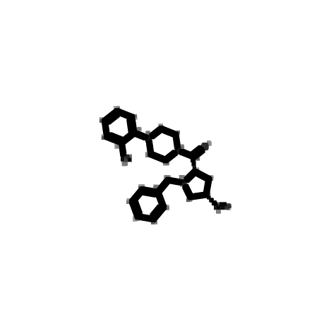 CN[C@H]1C[C@@H](C(=O)N2CCN(c3ccccc3C#N)CC2)N(Cc2ccccc2)C1